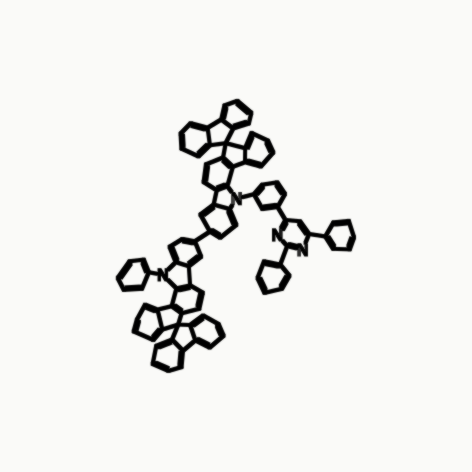 c1ccc(-c2cc(-c3cccc(-n4c5ccc(-c6ccc7c(c6)c6ccc8c(c6n7-c6ccccc6)-c6ccccc6C86c7ccccc7-c7ccccc76)cc5c5ccc6c(c54)-c4ccccc4C64c5ccccc5-c5ccccc54)c3)nc(-c3ccccc3)n2)cc1